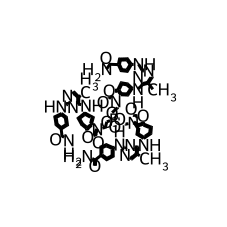 Cc1cnc(Nc2ccc(C(N)=O)cc2)nc1Nc1ccc2oc(=O)n(COP(=O)(OCn3c(=O)oc4ccc(Nc5nc(Nc6ccc(C(N)=O)cc6)ncc5C)cc43)OCn3c(=O)oc4ccc(Nc5nc(Nc6ccc(C(N)=O)cc6)ncc5C)cc43)c2c1